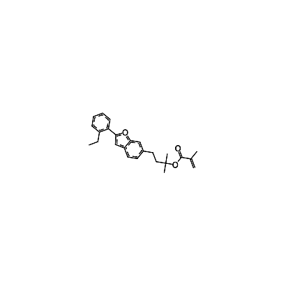 C=C(C)C(=O)OC(C)(C)CCc1ccc2cc(-c3ccccc3CC)oc2c1